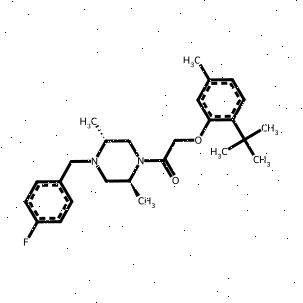 Cc1ccc(C(C)(C)C)c(OCC(=O)N2C[C@@H](C)N(Cc3ccc(F)cc3)C[C@@H]2C)c1